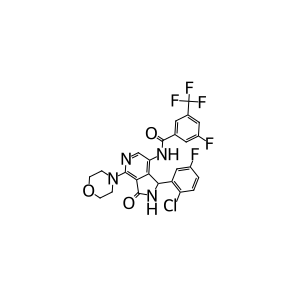 O=C(Nc1cnc(N2CCOCC2)c2c1C(c1cc(F)ccc1Cl)NC2=O)c1cc(F)cc(C(F)(F)F)c1